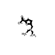 CCN(CC)Cc1ccc(C(=O)Cl)o1